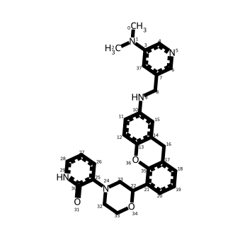 CN(C)c1cncc(CNc2ccc3c(c2)Cc2cccc(C4CN(c5ccc[nH]c5=O)CCO4)c2O3)c1